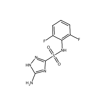 Nc1nc(S(=O)(=O)Nc2c(F)cccc2F)n[nH]1